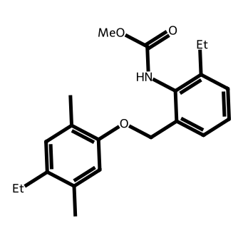 CCc1cc(C)c(OCc2cccc(CC)c2NC(=O)OC)cc1C